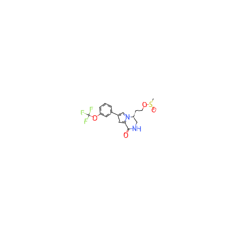 CS(=O)OCCC1CNC(=O)c2cc(-c3cccc(OC(F)(F)F)c3)cn21